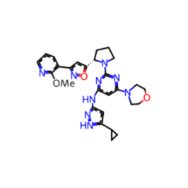 COc1ncccc1-c1cc([C@@H]2CCCN2c2nc(Nc3cc(C4CC4)[nH]n3)cc(N3CCOCC3)n2)on1